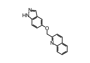 c1ccc2nc(COc3ccc4[nH]ncc4c3)ccc2c1